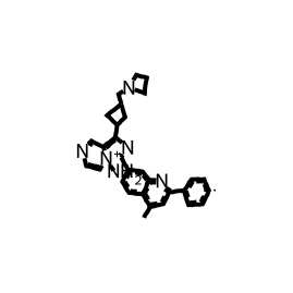 Cc1cc(-c2cc[c]cc2)nc2cc(C3=NC(C4CC(CN5CCC5)C4)=C4C=NC=C[N+]34N)ccc12